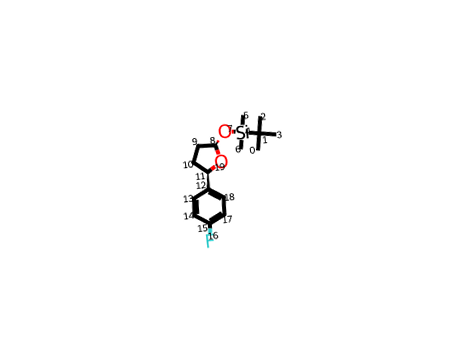 CC(C)(C)[Si](C)(C)O[C@H]1CC[C@H](c2ccc(F)cc2)O1